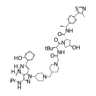 Cc1ncsc1-c1ccc([C@H](C)NC(=O)[C@@H]2C[C@@H](O)CN2C(=O)[C@@H](NC(=O)CN2CCC(CN3CCC(n4nc(NC(C)C)c(N)c4/C=C(\N)c4ccccc4O)CC3)CC2)C(C)(C)C)cc1